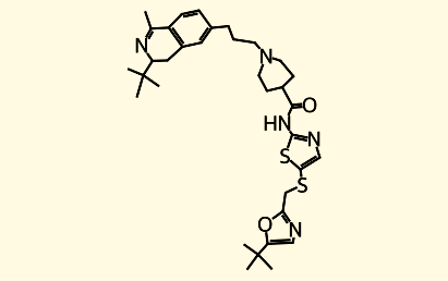 CC1=NC(C(C)(C)C)Cc2cc(CCCN3CCC(C(=O)Nc4ncc(SCc5ncc(C(C)(C)C)o5)s4)CC3)ccc21